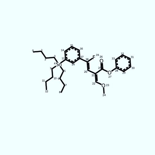 CCC[CH2][Sn]([CH2]CCC)([CH2]CCC)[c]1cccc(C(F)=CC(=COC)C(=O)Oc2ccccc2)c1